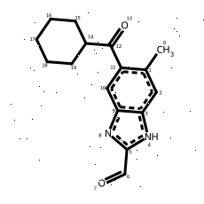 Cc1cc2[nH]c(C=O)nc2cc1C(=O)C1CCCCC1